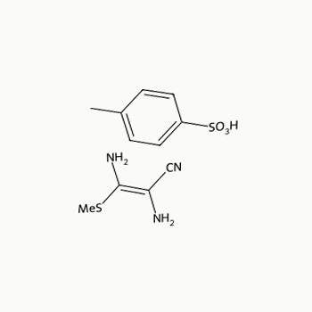 CSC(N)=C(N)C#N.Cc1ccc(S(=O)(=O)O)cc1